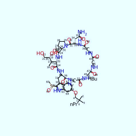 CCCC(C)(C)COc1ccc2c(C[C@H]3NC(=O)[C@H]([C@@H](C)[C@@H](O)CO)NC(=O)[C@@H]4CCCN4C(=O)[C@H](CC(N)=O)NC(=O)CNC(=O)CNC(=O)[C@H]([C@@H](C)CC)NC(=O)CNC3=O)c([S+](C)[O-])[nH]c2c1